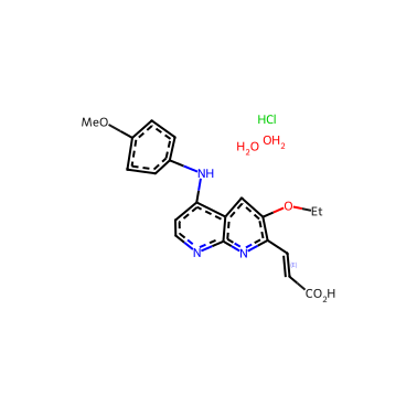 CCOc1cc2c(Nc3ccc(OC)cc3)ccnc2nc1/C=C/C(=O)O.Cl.O.O